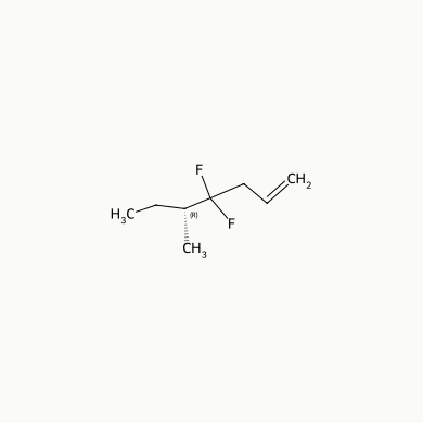 C=CCC(F)(F)[C@H](C)CC